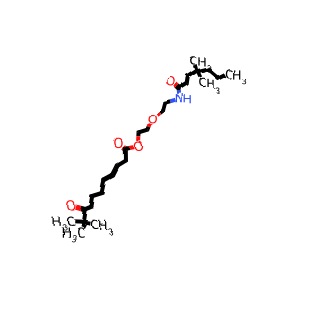 CCCC(C)(C)CCC(=O)NCCOCCOC(=O)CCCCCCCC(=O)C(C)(C)C